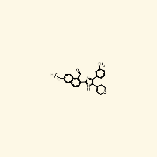 COc1ccc2c(C=O)c(-c3nc(-c4cccc(C)c4)c(C4=CCOCC4)[nH]3)ccc2c1